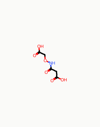 O=C(O)CONC(=O)CC(=O)O